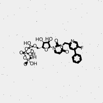 O=c1ccn([C@@H]2O[C@H](COP(=O)(O)OP(=O)(O)OP(=O)(O)O)[C@H](O)C2O)c(=O)n1Cc1cc(-c2ccccc2)c(F)cn1